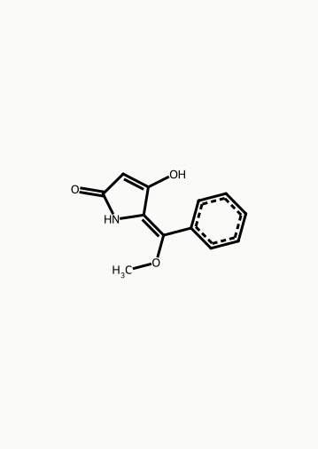 COC(=C1NC(=O)C=C1O)c1ccccc1